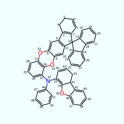 C1=CC2=C(CC1)c1cc3c(cc1C21c2ccccc2-c2ccccc21)Oc1c(cccc1N(C1=C2Oc4ccccc4C2CC=C1)c1ccccc1)O3